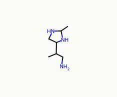 CC1NCC(C(C)CN)N1